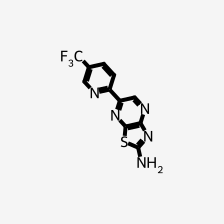 Nc1nc2ncc(-c3ccc(C(F)(F)F)cn3)nc2s1